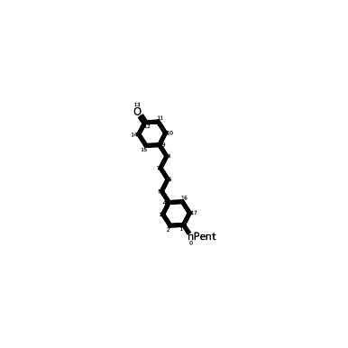 CCCCCC1CCC(CCCCC2CCC(=O)CC2)CC1